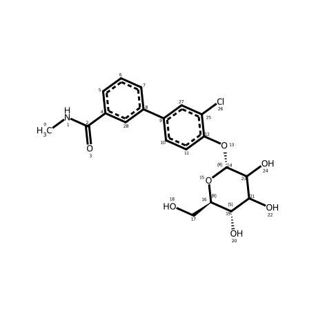 CNC(=O)c1cccc(-c2ccc(O[C@H]3O[C@H](CO)[C@@H](O)C(O)C3O)c(Cl)c2)c1